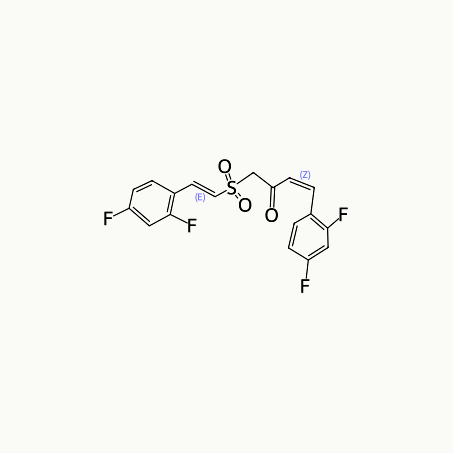 O=C(/C=C\c1ccc(F)cc1F)CS(=O)(=O)/C=C/c1ccc(F)cc1F